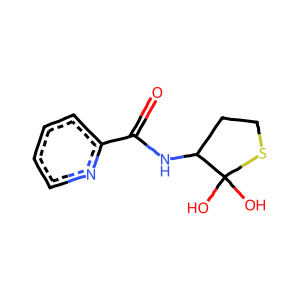 O=C(NC1CCSC1(O)O)c1ccccn1